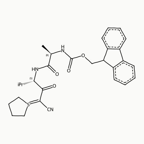 CC(C)[C@H](NC(=O)[C@@H](C)NC(=O)OCC1c2ccccc2-c2ccccc21)C(=O)C(C#N)=S1CCCC1